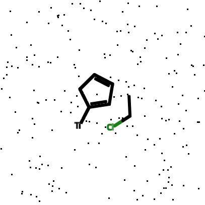 CCCl.[Ti][C]1=CC=CC1